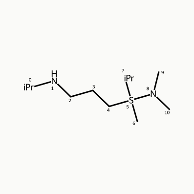 CC(C)NCCCS(C)(C(C)C)N(C)C